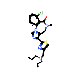 CCCN(CCC)Cc1csc(-c2ncn3c2CN(C)C(=O)c2c(Cl)cccc2-3)n1